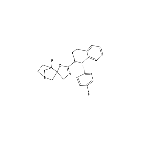 Fc1ccc([C@H]2c3ccccc3CCN2C2=NCC3(CN4CCC3(F)C4)O2)cc1